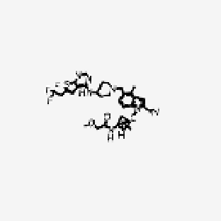 COCC(=O)NC12CC(Cn3c(C#N)cc4c(C)c(CN5CCC(Nc6ncnc7sc(CC(F)(F)F)cc67)CC5)ccc43)(C1)[C@@H]2C